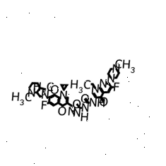 CCn1cc(NC(=O)Nc2nnc(-c3cn(C4CC4)c4c(OC)c(N5CC6CCCN(C)C6C5)c(F)cc4c3=O)o2)c(=O)c2cc(F)c(N3CCN(C)CC3)nc21